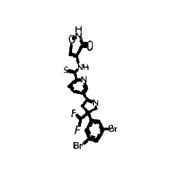 O=C1NOCC1NC(=S)c1ccc(C2=NCC(c3cc(Br)cc(Br)c3)(C(F)F)C2)cn1